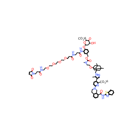 Cc1c(-c2ccc(N3CCc4cccc(C(=O)Nc5nc6ccccc6s5)c4C3)nc2C(=O)O)cnn1CC12CC3(C)CC(C)(C1)CC(OCCN(C)C(=O)OCc1ccc(O[C@H]4C[C@@H](O)C(=O)[C@@H](C(=O)O)O4)c(NC(=O)CCNC(=O)CCOCCOCCOCCOCCNC(=O)CCN4C(=O)C=CC4=O)c1)(C3)C2